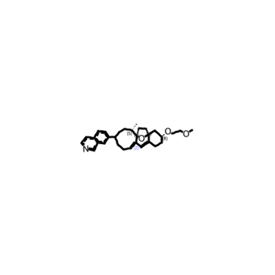 COCCO[C@@H]1CCC2=C/C3=C/CCC(c4ccc5ccncc5c4)CC[C@H](C)[C@@]34CC[C@]2(C1)O4